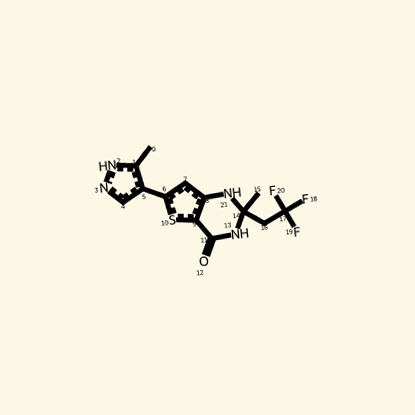 Cc1[nH]ncc1-c1cc2c(s1)C(=O)NC(C)(CC(F)(F)F)N2